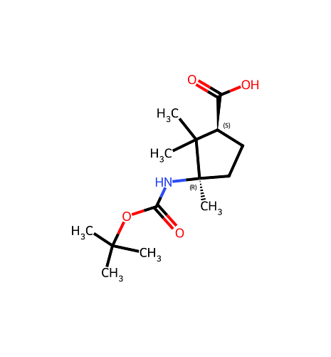 CC(C)(C)OC(=O)N[C@]1(C)CC[C@H](C(=O)O)C1(C)C